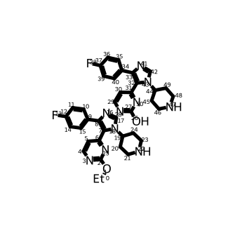 CCOc1nccc(-c2c(-c3ccc(F)cc3)ncn2C2CCNCC2)n1.Oc1nccc(-c2c(-c3ccc(F)cc3)ncn2C2CCNCC2)n1